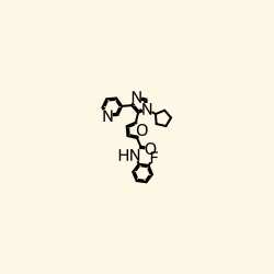 O=C(Nc1ccccc1F)c1ccc(-c2c(-c3cccnc3)ncn2C2CCCC2)o1